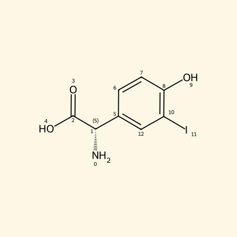 N[C@H](C(=O)O)c1ccc(O)c(I)c1